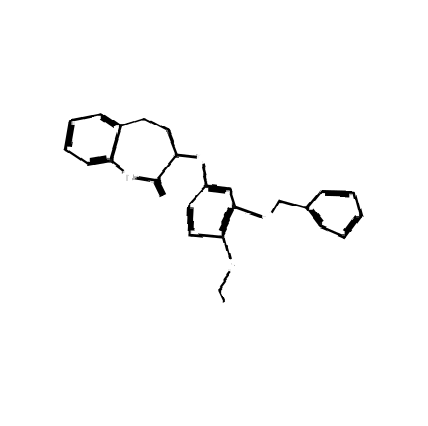 CCOC(=O)CNc1ccc(OC2CCc3ccccc3NC2=O)cc1OCc1ccccc1